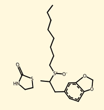 CCCCCCCC[S+]([O-])C(C)Cc1ccc2c(c1)OCO2.O=C1NCCS1